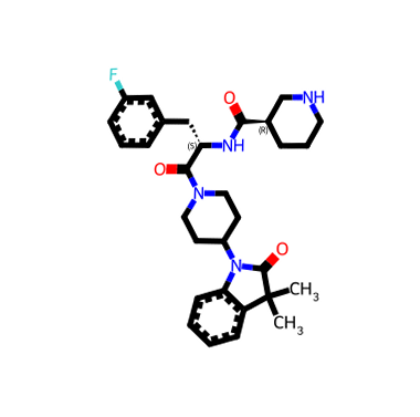 CC1(C)C(=O)N(C2CCN(C(=O)[C@H](Cc3cccc(F)c3)NC(=O)[C@@H]3CCCNC3)CC2)c2ccccc21